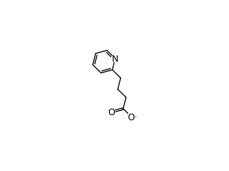 [O]C(=O)CCCc1ccccn1